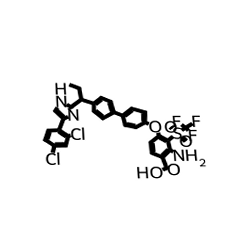 CCC(c1ccc(-c2ccc(Oc3ccc(C(=O)O)c(N)c3S(=O)(=O)C(F)(F)F)cc2)cc1)c1nc(-c2ccc(Cl)cc2Cl)c[nH]1